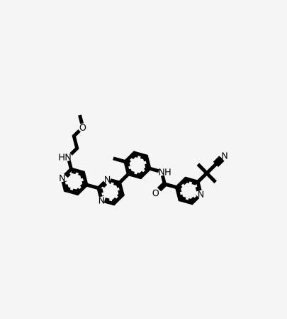 COCCNc1cc(-c2nccc(-c3cc(NC(=O)c4ccnc(C(C)(C)C#N)c4)ccc3C)n2)ccn1